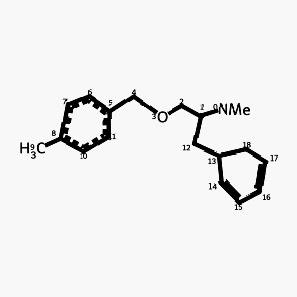 CNC(COCc1ccc(C)cc1)CC1C=CC=CC1